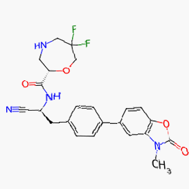 Cn1c(=O)oc2ccc(-c3ccc(C[C@@H](C#N)NC(=O)[C@@H]4CNCC(F)(F)CO4)cc3)cc21